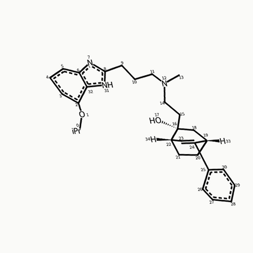 CC(C)Oc1cccc2nc(CCCN(C)CC[C@@]3(O)C[C@@H]4CC[C@H]3C=C4c3ccccc3)[nH]c12